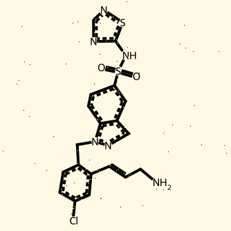 NC/C=C/c1cc(Cl)ccc1Cn1ncc2cc(S(=O)(=O)Nc3ncns3)ccc21